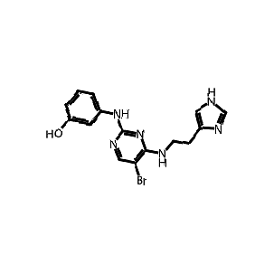 Oc1cccc(Nc2ncc(Br)c(NCCc3c[nH]cn3)n2)c1